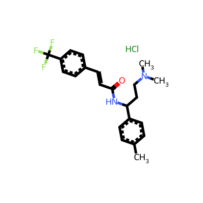 Cc1ccc(C(CCN(C)C)NC(=O)/C=C/c2ccc(C(F)(F)F)cc2)cc1.Cl